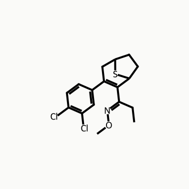 CCC(=NOC)C1=C(c2ccc(Cl)c(Cl)c2)CC2CCC1S2